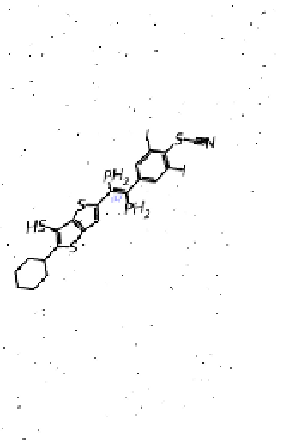 N#CSc1c(I)cc(/C(P)=C(\P)c2cc3sc(C4CCCCC4)c(S)c3s2)cc1I